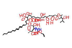 C=CCOC(=O)NC1C(O)C(C)OC(OC(/C=C/C=C/C=C/C=C/C=C/C=C/C)CC2OC(O)(CC(O)CC(O)C(O)CCC(O)CC(O)CC(=O)OC(C)C(C)C(O)C(C)C)CC(O)C2C(=O)O)C1O